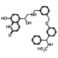 O=C(O)NC(c1ccccc1)c1cccc(OCc2cccc(CNC[C@@H](O)c3ccc(O)c4[nH]c(=O)ccc34)c2)c1